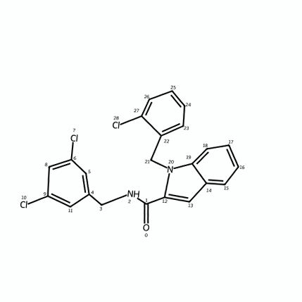 O=C(NCc1cc(Cl)cc(Cl)c1)c1cc2ccccc2n1Cc1ccccc1Cl